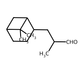 CC(C=O)CC1CCC2CC1C2(C)C